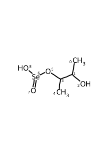 CC(O)C(C)O[Se](=O)O